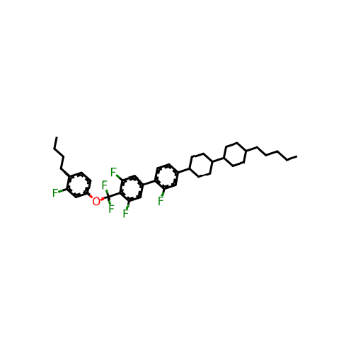 CCCCCC1CCC(C2CCC(c3ccc(-c4cc(F)c(C(F)(F)Oc5ccc(CCCC)c(F)c5)c(F)c4)c(F)c3)CC2)CC1